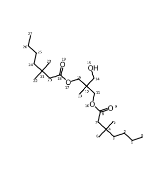 CCCCC(C)(C)CC(=O)OCC(C)(CO)COC(=O)CC(C)(C)CCCC